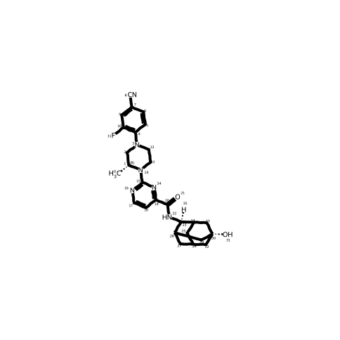 C[C@@H]1CN(c2ccc(C#N)cc2F)CCN1c1nccc(C(=O)N[C@H]2C3CC4CC2C[C@](O)(C4)C3)n1